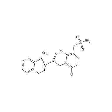 C[C@H]1c2ccccc2CCN1C(=O)Cc1c(Cl)ccc(CS(N)(=O)=O)c1Cl